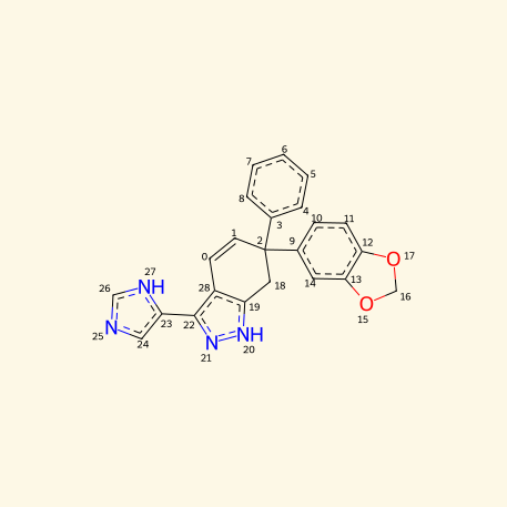 C1=CC(c2ccccc2)(c2ccc3c(c2)OCO3)Cc2[nH]nc(-c3cnc[nH]3)c21